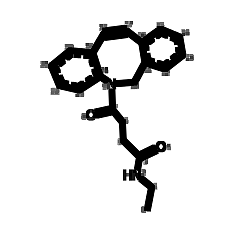 CCNC(=O)CCC(=O)N1Cc2ccccc2C#Cc2ccccc21